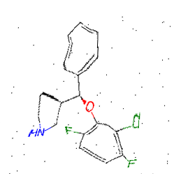 Fc1ccc(F)c(O[C@H](c2ccccc2)[C@@H]2CCNC2)c1Cl